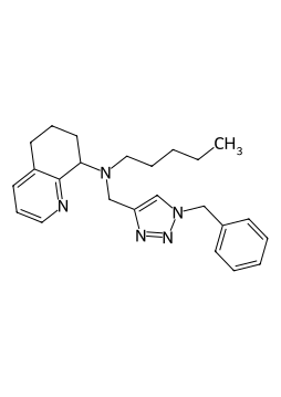 CCCCCN(Cc1cn(Cc2ccccc2)nn1)C1CCCc2cccnc21